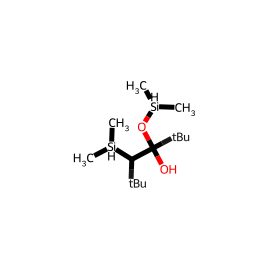 C[SiH](C)OC(O)(C([SiH](C)C)C(C)(C)C)C(C)(C)C